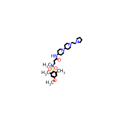 COc1cc(C)c(S(=O)(=O)N(C)CCC(=O)NC2CCN(C3CCN(CCN4CCCC4)CC3)CC2)c(C)c1